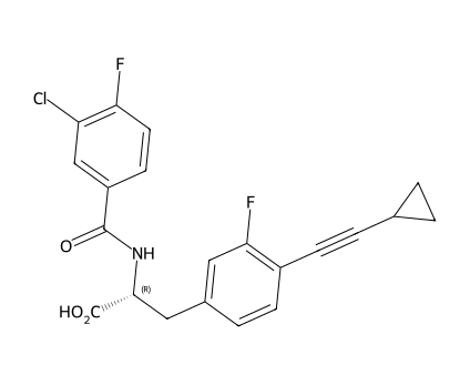 O=C(N[C@H](Cc1ccc(C#CC2CC2)c(F)c1)C(=O)O)c1ccc(F)c(Cl)c1